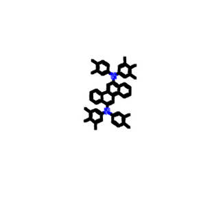 Cc1ccc(N(c2cc(C)c(C)c(C)c2)c2cc3c4ccccc4c(N(c4ccc(C)c(C)c4)c4cc(C)c(C)c(C)c4)cc3c3ccccc23)cc1C